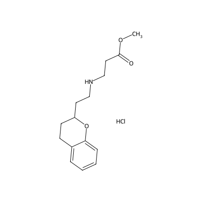 COC(=O)CCNCCC1CCc2ccccc2O1.Cl